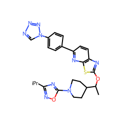 CC(C)c1noc(N2CCC(C(C)Oc3nc4ccc(-c5ccc(-n6cnnn6)cc5)nc4s3)CC2)n1